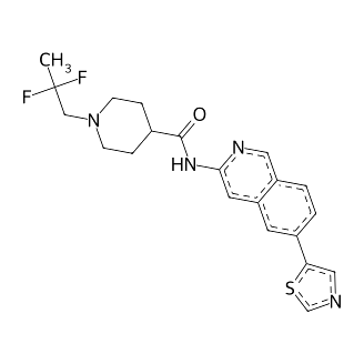 CC(F)(F)CN1CCC(C(=O)Nc2cc3cc(-c4cncs4)ccc3cn2)CC1